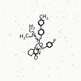 CCN(CC)CCN(Cc1ccc(-c2ccc(C)cc2)cc1)C(=O)Cn1c(SCc2ccc(F)cc2)nc(=O)c2c1CCCC2